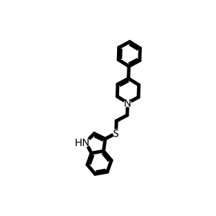 C1=C(c2ccccc2)CCN(CCSc2c[nH]c3ccccc23)C1